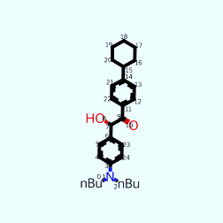 CCCCN(CCCC)c1ccc(C(O)C(=O)c2ccc(C3CCCCC3)cc2)cc1